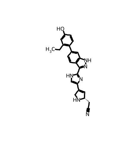 CCc1cc(O)ccc1-c1ccc2c(-c3nc(C4=C[C@H](CC#N)NC4)c[nH]3)n[nH]c2c1